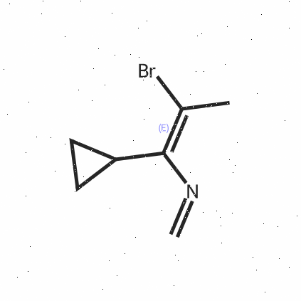 C=N/C(=C(\C)Br)C1CC1